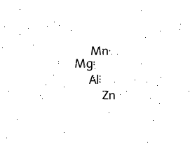 [Al].[Mg].[Mn].[Zn]